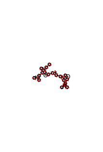 CC1(C)c2ccc(-c3ccc4oc5ccc(N(c6ccc(-c7ccccc7)cc6)c6ccccc6-c6cccc(-c7ccc8c(c7)c7ccccc7n8-c7ccccc7)c6)cc5c4c3)cc2-c2ccc(-c3ccc(N(c4ccc(-c5ccccc5)cc4)c4cccc5oc6ccc(-c7ccc8c(c7)c7ccccc7n8-c7ccccc7)cc6c45)cc3)cc21